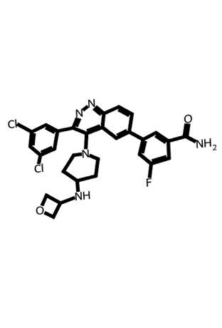 NC(=O)c1cc(F)cc(-c2ccc3nnc(-c4cc(Cl)cc(Cl)c4)c(N4CCC(NC5COC5)CC4)c3c2)c1